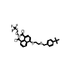 CC(C)(C)c1ccc(CSCCSc2ccc3c4c(cccc24)C(=O)N(OSC(F)(F)F)C3=O)cc1